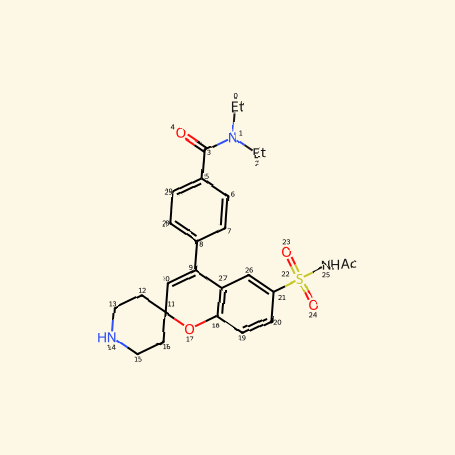 CCN(CC)C(=O)c1ccc(C2=CC3(CCNCC3)Oc3ccc(S(=O)(=O)NC(C)=O)cc32)cc1